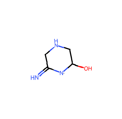 N=C1CNCC(O)[N]1